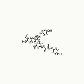 COc1cc(/C=C(\Oc2ccc(/C=C/C(=O)NCCc3ccc(O)cc3)cc2OC)C(=O)NCCc2ccc(O)cc2)ccc1O